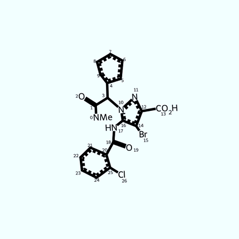 CNC(=O)C(c1ccccc1)n1nc(C(=O)O)c(Br)c1NC(=O)c1ccccc1Cl